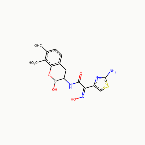 Nc1nc(C(=NO)C(=O)NC2Cc3ccc(C=O)c(C(=O)O)c3OB2O)cs1